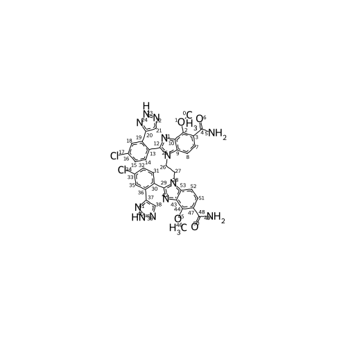 COc1c(C(N)=O)ccc2c1nc(-c1ccc(Cl)cc1-c1cn[nH]n1)n2CCn1c(-c2ccc(Cl)cc2-c2cn[nH]n2)nc2c(OC)c(C(N)=O)ccc21